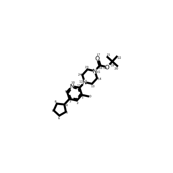 Cc1cc(C2CCCC2)cnc1N1CCN(C(=O)OC(C)(C)C)CC1